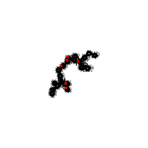 c1ccc(-c2cccc(-c3ccc(-c4nc(-c5ccc(-c6cccc7cc(-c8ccc(-c9cccc(-c%10ccc(-c%11nc(-c%12ccc(-c%13ccc%14ccccc%14c%13)c%13ccccc%12%13)nc(-c%12cccc%13c%12oc%12ccccc%12%13)n%11)cc%10)c9)cc8)ccc67)c6ccccc56)nc(-c5cccc6c5oc5ccccc56)n4)cc3)c2)cc1